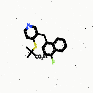 CCOC(=O)C(C)(C)Sc1ccncc1Cc1ccc(F)c2ccccc12